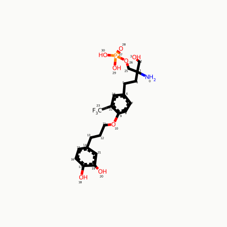 NC(CO)(CCc1ccc(OCCCc2ccc(O)c(O)c2)c(C(F)(F)F)c1)COP(=O)(O)O